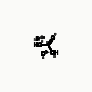 O=C(O)O.[O-2].[Sr+2]